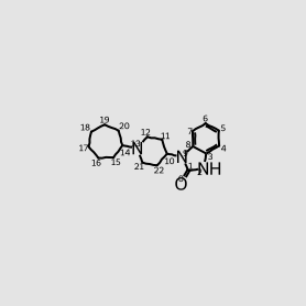 O=c1[nH]c2ccccc2n1C1CCN(C2CCCCCC2)CC1